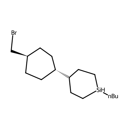 CCCC[SiH]1CCC([C@H]2CC[C@H](CBr)CC2)CC1